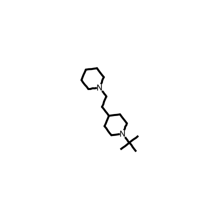 CC(C)(C)N1CCC(CCN2CCCCC2)CC1